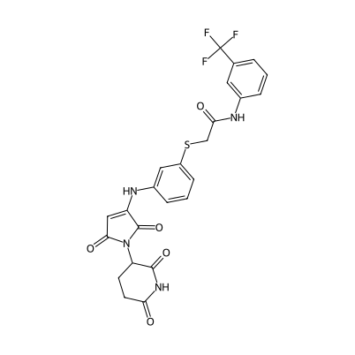 O=C1CCC(N2C(=O)C=C(Nc3cccc(SCC(=O)Nc4cccc(C(F)(F)F)c4)c3)C2=O)C(=O)N1